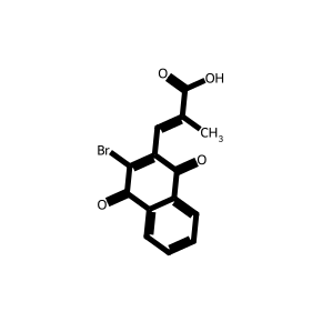 CC(=CC1=C(Br)C(=O)c2ccccc2C1=O)C(=O)O